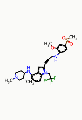 COc1cc(S(C)(=O)=O)ccc1NCC#Cc1cc2c(N[C@@H]3CCN(C)C[C@H]3C)cccc2n1CC(F)(F)F